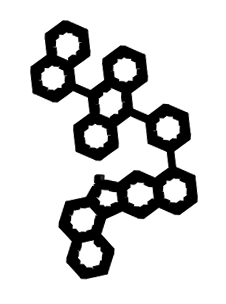 c1cc(-c2cccc3cc4c(cc23)sc2ccc3ccccc3c24)cc(-c2c3ccccc3c(-c3cccc4ccccc34)c3ccccc23)c1